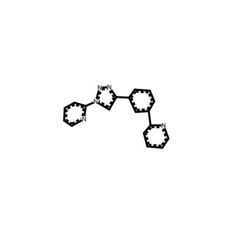 c1ccc(-c2cccc(-c3cn(-c4ccccn4)nn3)c2)nc1